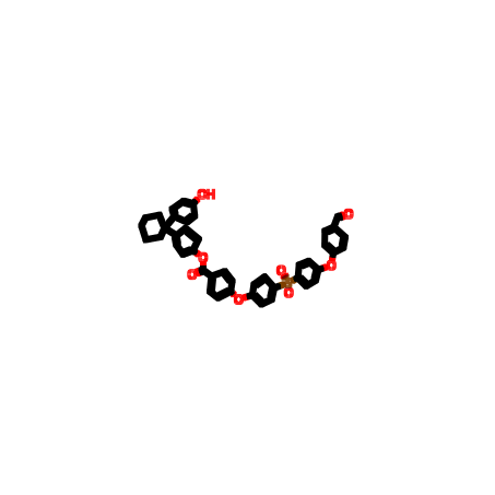 O=Cc1ccc(Oc2ccc(S(=O)(=O)c3ccc(Oc4ccc(C(=O)Oc5ccc(C6(c7ccc(O)cc7)CCCCC6)cc5)cc4)cc3)cc2)cc1